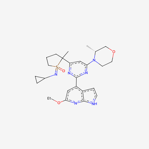 CCOc1cc(-c2nc(N3CCOC[C@H]3C)cc(C3(C)CCCS3(=O)=NC3CC3)n2)c2cc[nH]c2n1